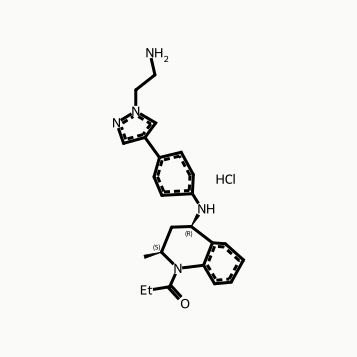 CCC(=O)N1c2ccccc2[C@H](Nc2ccc(-c3cnn(CCN)c3)cc2)C[C@@H]1C.Cl